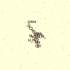 BC(B)(N1CCN(c2ccc(OCCOC)cc2)CC1)C(B)(B)N(C)c1cc2nc(-c3ncco3)nn2c(N)n1